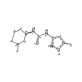 Cc1cc(NC(=O)N[C@@H]2CCCN(C)C2)no1